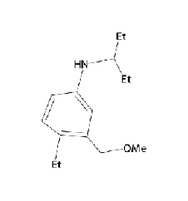 CCc1ccc(NC(CC)CC)cc1COC